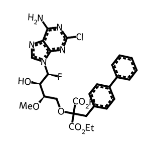 CCOC(=O)C(Cc1ccc(-c2ccccc2)cc1)(OC[C@@H](OC)[C@@H](O)[C@H](F)n1cnc2c(N)nc(Cl)nc21)C(=O)O